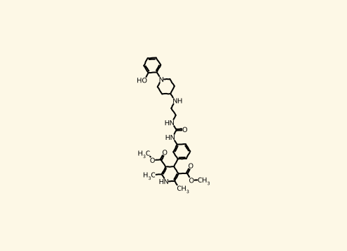 COC(=O)C1=C(C)NC(C)=C(C(=O)OC)C1c1cccc(NC(=O)NCCNC2CCN(c3ccccc3O)CC2)c1